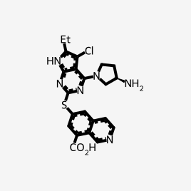 CCc1[nH]c2nc(Sc3cc(C(=O)O)c4cnccc4c3)nc(N3CC[C@@H](N)C3)c2c1Cl